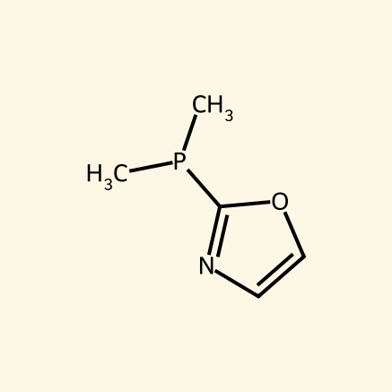 CP(C)c1ncco1